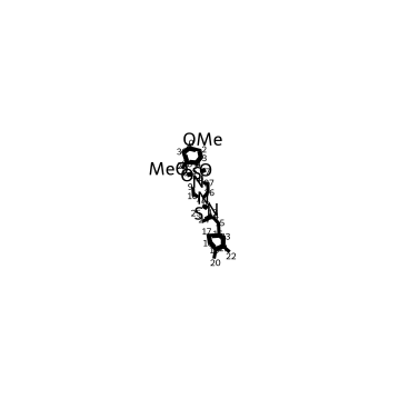 COc1ccc(S(=O)(=O)N2CCN(c3nc(Cc4ccc(C)c(C)c4)cs3)CC2)c(OC)c1